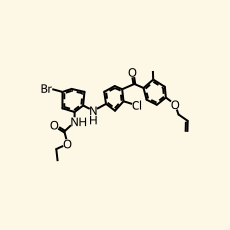 C=CCOc1ccc(C(=O)c2ccc(Nc3ccc(Br)cc3NC(=O)OCC)cc2Cl)c(C)c1